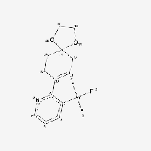 FC(F)(F)c1cccnc1C1=CCC2(CC1)OCCO2